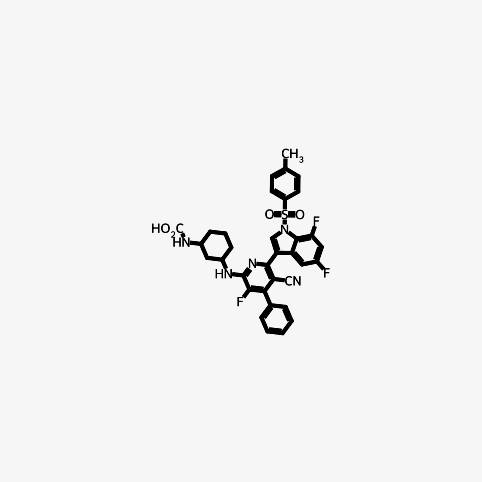 Cc1ccc(S(=O)(=O)n2cc(-c3nc(NC4CCCC(NC(=O)O)C4)c(F)c(-c4ccccc4)c3C#N)c3cc(F)cc(F)c32)cc1